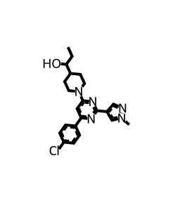 CCC(O)C1CCN(c2cc(-c3ccc(Cl)cc3)nc(-c3cnn(C)c3)n2)CC1